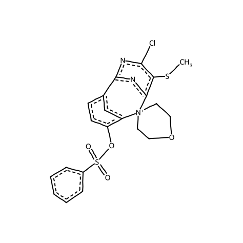 CSc1c(Cl)nc2nc1[N+]1(CCOCC1)c1cc-2ccc1OS(=O)(=O)c1ccccc1